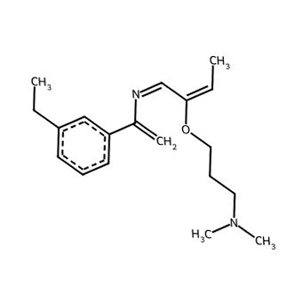 C=C(/N=C\C(=C/C)OCCCN(C)C)c1cccc(CC)c1